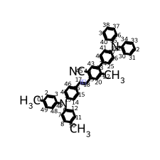 Cc1ccc(N(c2ccc(C)cc2)c2ccc(/C=C/c3cc(C)c(-c4ccc(N(c5ccccc5)c5ccccc5)cc4)cc3C#N)cc2)cc1